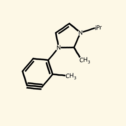 Cc1c#cccc1N1C=CN(C(C)C)C1C